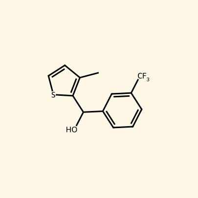 Cc1ccsc1C(O)c1cccc(C(F)(F)F)c1